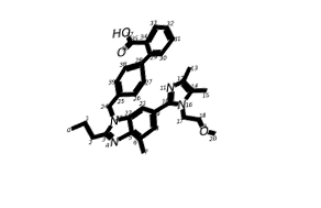 CCCc1nc2c(C)cc(-c3nc(C)c(C)n3CCOC)cc2n1Cc1ccc(-c2ccccc2C(=O)O)cc1